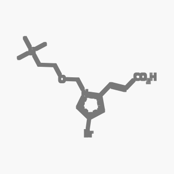 C[Si](C)(C)CCOCn1cc(Br)cc1C=CC(=O)O